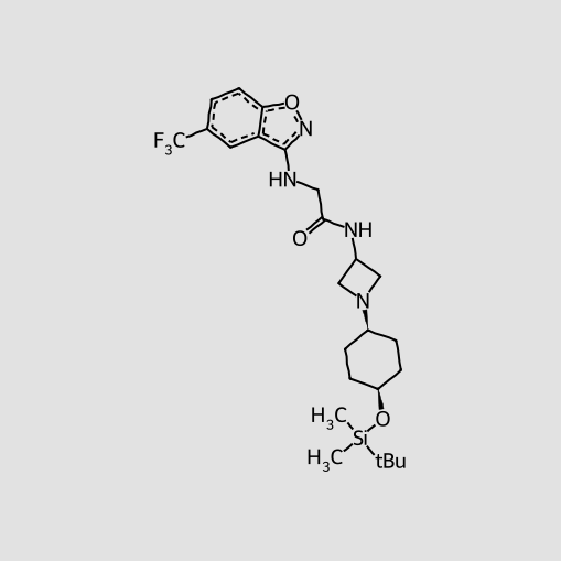 CC(C)(C)[Si](C)(C)O[C@H]1CC[C@@H](N2CC(NC(=O)CNc3noc4ccc(C(F)(F)F)cc34)C2)CC1